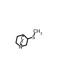 CSC1CN2CCC1CC2